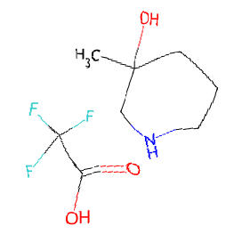 CC1(O)CCCNC1.O=C(O)C(F)(F)F